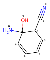 N#CC1C=CC=CC1(N)O